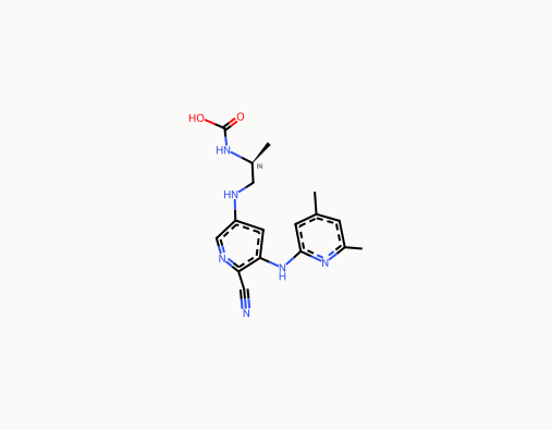 Cc1cc(C)nc(Nc2cc(NC[C@H](C)NC(=O)O)cnc2C#N)c1